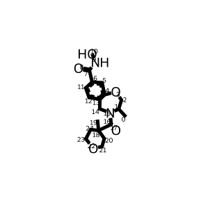 CC1COc2cc(C(=O)NO)ccc2CN1C(=O)C1(C)CCOCC1